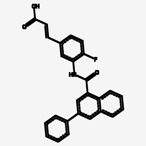 O=C(O)C=Cc1ccc(F)c(NC(=O)c2cc(-c3ccccc3)cc3ccccc23)c1